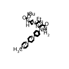 CCc1nc(C(N)=O)c(Nc2ccc(N3CCC(N4CCN(C)CC4)CC3)cc2)nc1N1CC(NC(=O)OC(C)(C)C)C1